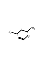 C=CCC.NCCCN